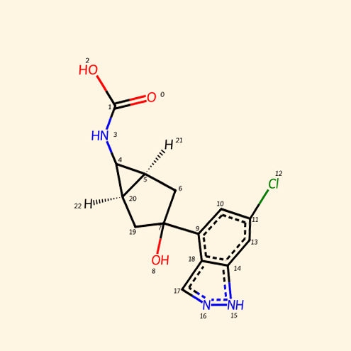 O=C(O)NC1[C@H]2CC(O)(c3cc(Cl)cc4[nH]ncc34)C[C@@H]12